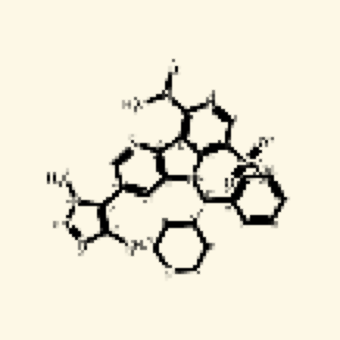 CCN(C)c1ncc(S(C)(=O)=O)c2c1c1ncc(-c3c(C)nnn3C)cc1n2[C@H](c1ccccc1)C1CCOCC1